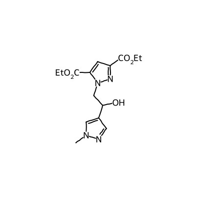 CCOC(=O)c1cc(C(=O)OCC)n(CC(O)c2cnn(C)c2)n1